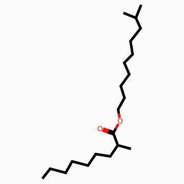 CCCCCCCC(C)C(=O)OCCCCCCCCC(C)C